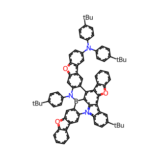 CC(C)(C)c1ccc(N2B3c4cc5oc6ccccc6c5cc4-n4c5ccc(C(C)(C)C)cc5c5c6oc7ccccc7c6c(c3c54)-c3cc4c(cc32)oc2ccc(N(c3ccc(C(C)(C)C)cc3)c3ccc(C(C)(C)C)cc3)cc24)cc1